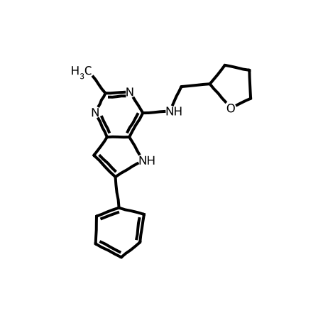 Cc1nc(NCC2CCCO2)c2[nH]c(-c3ccccc3)cc2n1